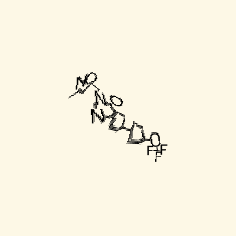 Cc1cc(Cn2cnc3ccc(-c4ccc(OC(F)(F)F)cc4)cc3c2=O)on1